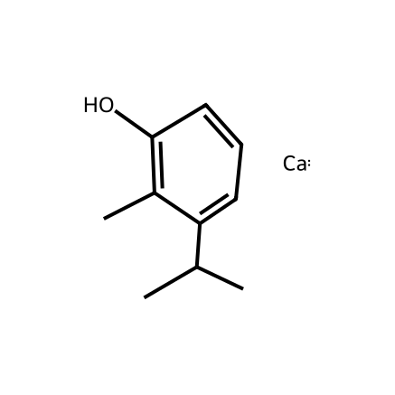 Cc1c(O)cccc1C(C)C.[Ca]